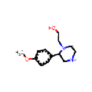 COc1ccc(C2CNC[CH]N2CCO)cc1